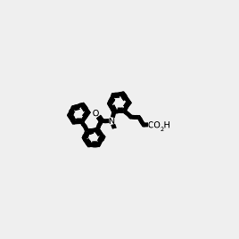 CN(C(=O)c1ccccc1-c1ccccc1)c1ccccc1CCCC(=O)O